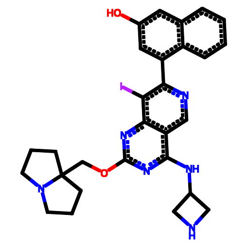 Oc1cc(-c2ncc3c(NC4CNC4)nc(OCC45CCCN4CCC5)nc3c2I)c2ccccc2c1